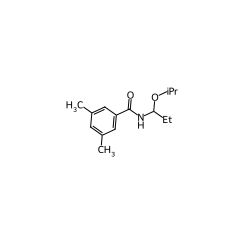 CCC(NC(=O)c1cc(C)cc(C)c1)OC(C)C